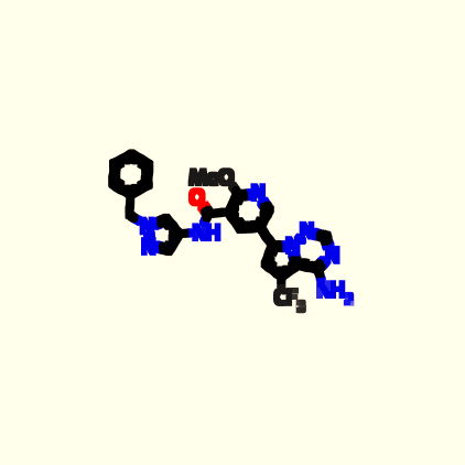 COc1ncc(-c2cc(C(F)(F)F)c3c(N)ncnn23)cc1C(=O)Nc1cnn(Cc2ccccc2)c1